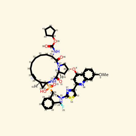 COc1ccc2c(O[C@@H]3C[C@H]4C(=O)N[C@]5(P(=O)(O)Cc6ccccc6CF)C[C@H]5/C=C\CCCCC[C@H](NC(=O)OC5CCCC5)C(=O)N4C3)cc(-c3csc(NC(C)C)n3)nc2c1